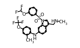 CNCc1cn(S(=O)(=O)c2cccc(OC(F)F)c2)c2cc(Nc3ccc(OC(F)(F)F)cc3C)ccc12